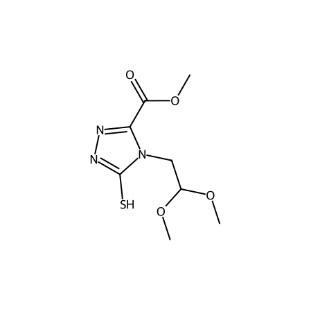 COC(=O)c1nnc(S)n1CC(OC)OC